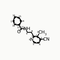 Cc1c(C#N)ccnc1CCNC(=O)c1ccccc1